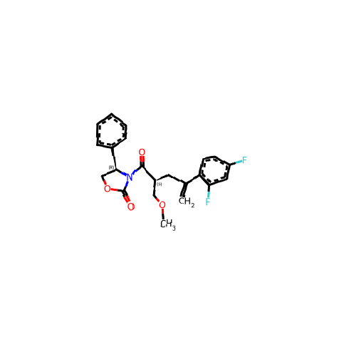 C=C(C[C@@H](COC)C(=O)N1C(=O)OC[C@H]1c1ccccc1)c1ccc(F)cc1F